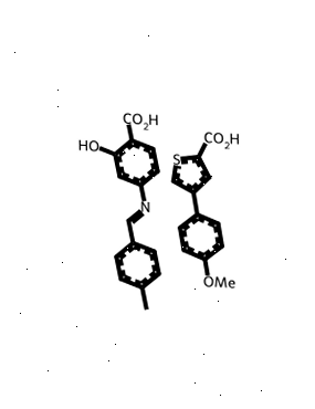 COc1ccc(-c2csc(C(=O)O)c2)cc1.Cc1ccc(/C=N/c2ccc(C(=O)O)c(O)c2)cc1